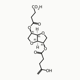 C=C(O)CCC(=O)O[C@@H]1CO[C@H]2[C@@H]1OC[C@H]2OC(=O)CCC(=O)O